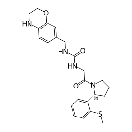 CSc1ccccc1[C@H]1CCCN1C(=O)CNC(=O)NCc1ccc2c(c1)OCCN2